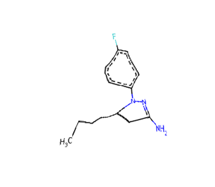 CCCCC1CC(N)=NN1c1ccc(F)cc1